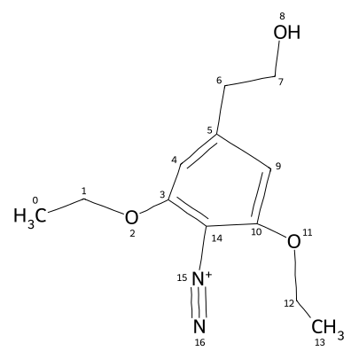 CCOc1cc(CCO)cc(OCC)c1[N+]#N